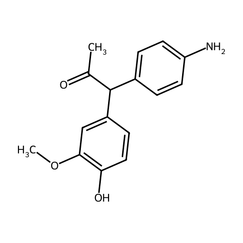 COc1cc(C(C(C)=O)c2ccc(N)cc2)ccc1O